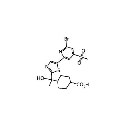 CC(O)(c1ncc(-c2cc(S(C)(=O)=O)cc(Br)n2)s1)C1CCC(C(=O)O)CC1